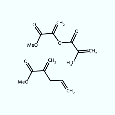 C=C(C)C(=O)OC(=C)C(=O)OC.C=CCC(=C)C(=O)OC